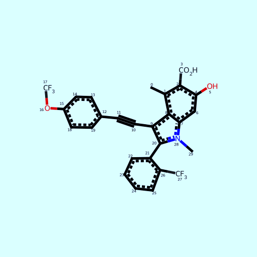 Cc1c(C(=O)O)c(O)cc2c1c(C#Cc1ccc(OC(F)(F)F)cc1)c(-c1ccccc1C(F)(F)F)n2C